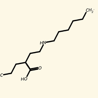 [CH2]CCCCCNCCC(CCC)C(=O)O